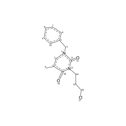 Cc1cn(Cc2ccccc2)c(=O)n(CCCCl)c1=O